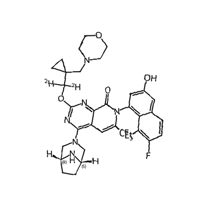 [2H]C([2H])(Oc1nc(N2C[C@H]3CC[C@@H](C2)N3)c2cc(C(F)(F)F)n(-c3cc(O)cc4ccc(F)c(CC)c34)c(=O)c2n1)C1(CN2CCOCC2)CC1